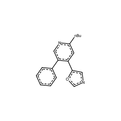 CCCCc1cc(-c2cnco2)c(-c2ccccc2)[c]n1